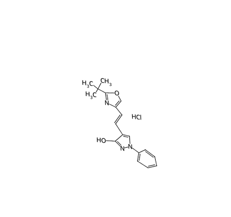 CC(C)(C)c1nc(C=Cc2cn(-c3ccccc3)nc2O)co1.Cl